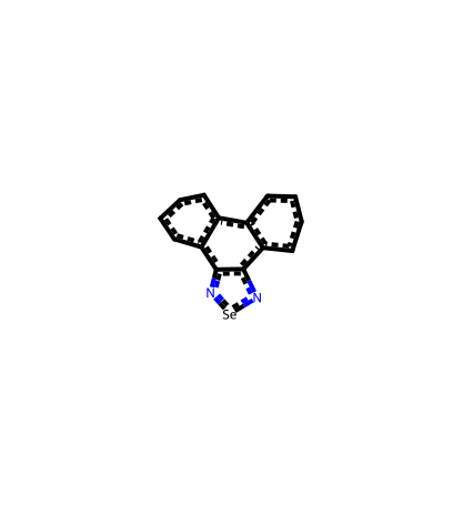 c1ccc2c(c1)c1ccccc1c1n[se]nc21